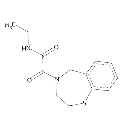 CCNC(=O)C(=O)N1CCSc2ccccc2C1